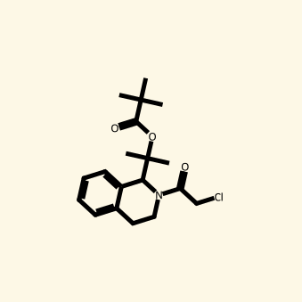 CC(C)(C)C(=O)OC(C)(C)C1c2ccccc2CCN1C(=O)CCl